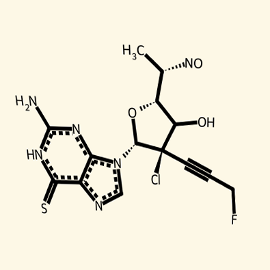 C[C@H](N=O)[C@H]1O[C@@H](n2cnc3c(=S)[nH]c(N)nc32)[C@@](Cl)(C#CCF)C1O